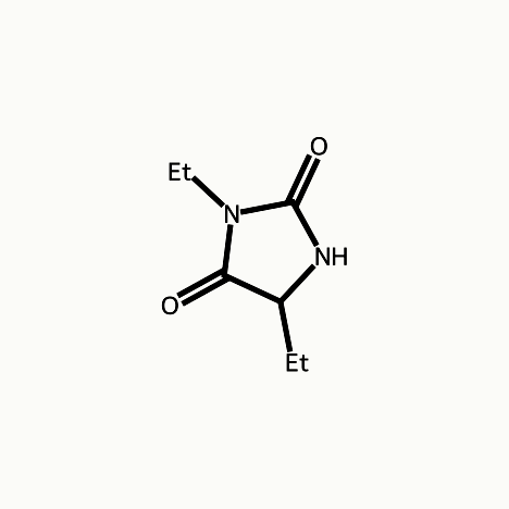 [CH2]CC1NC(=O)N(CC)C1=O